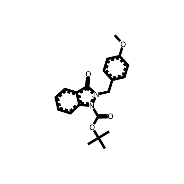 COc1ccc(Cn2c(=O)c3ccccc3n2C(=O)OC(C)(C)C)cc1